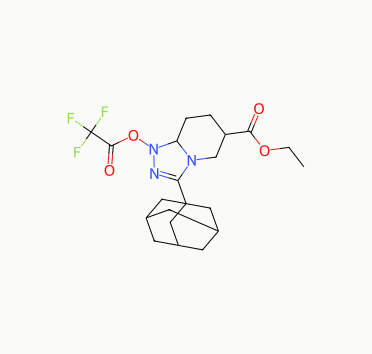 CCOC(=O)C1CCC2N(OC(=O)C(F)(F)F)N=C(C34CC5CC(CC(C5)C3)C4)N2C1